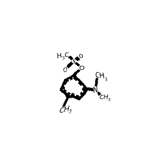 Cc1ccc(OS(C)(=O)=O)c(N(C)C)c1